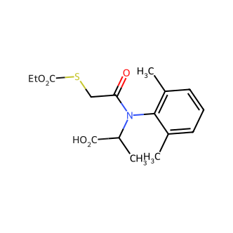 CCOC(=O)SCC(=O)N(c1c(C)cccc1C)C(C)C(=O)O